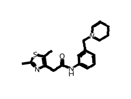 Cc1nc(CC(=O)Nc2cccc(CN3CCCCC3)c2)c(C)s1